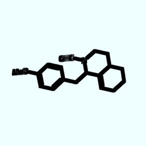 COc1ccc(CC2C3=CCCCC3CCN2C=O)cc1